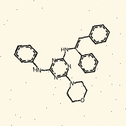 C(=C(Nc1nc(Nc2ccccc2)nc(N2CCOCC2)n1)c1ccccc1)c1ccccc1